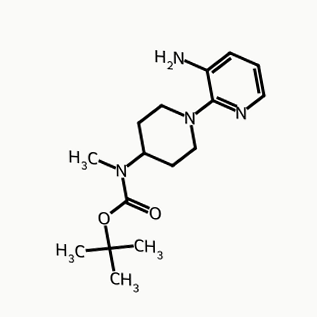 CN(C(=O)OC(C)(C)C)C1CCN(c2ncccc2N)CC1